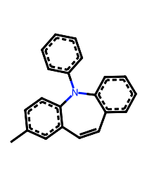 Cc1ccc2c(c1)C=Cc1ccccc1N2c1ccccc1